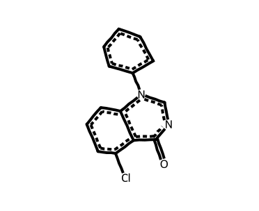 O=c1ncn(-c2ccccc2)c2cccc(Cl)c12